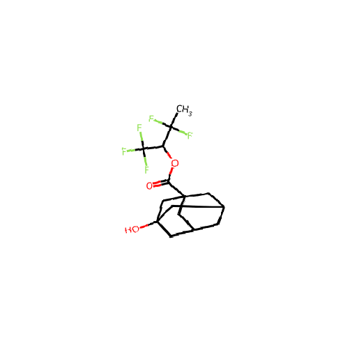 CC(F)(F)C(OC(=O)C12CC3CC(CC(O)(C3)C1)C2)C(F)(F)F